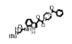 CC(C)(C)NCC(=O)Nc1cccc2c(C(=O)C(=O)N3CCN(C(=O)c4ccccc4)CC3)c[nH]c12